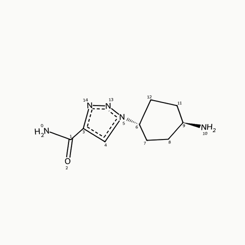 NC(=O)c1cn([C@H]2CC[C@H](N)CC2)nn1